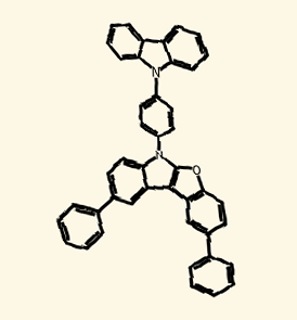 c1ccc(-c2ccc3oc4c(c3c2)c2cc(-c3ccccc3)ccc2n4-c2ccc(-n3c4ccccc4c4ccccc43)cc2)cc1